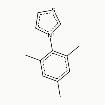 Cc1cc(C)c(-[n+]2ccsc2)c(C)c1